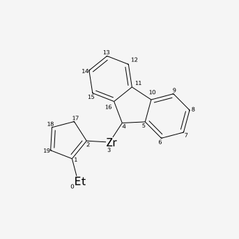 CCC1=[C]([Zr][CH]2c3ccccc3-c3ccccc32)CC=C1